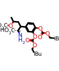 CCOC(=O)OC(C)CC(c1ccc(OC(=O)OCC(C)CC)c(OC(=O)OCC(C)CC)c1)[C@H](N)C(=O)O